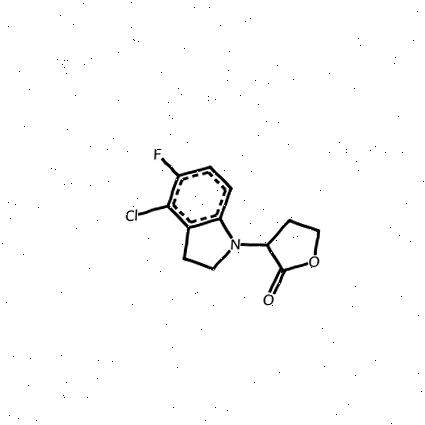 O=C1OCCC1N1CCc2c1ccc(F)c2Cl